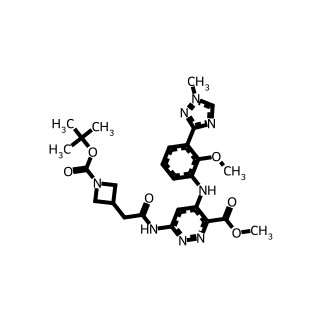 COC(=O)c1nnc(NC(=O)CC2CN(C(=O)OC(C)(C)C)C2)cc1Nc1cccc(-c2ncn(C)n2)c1OC